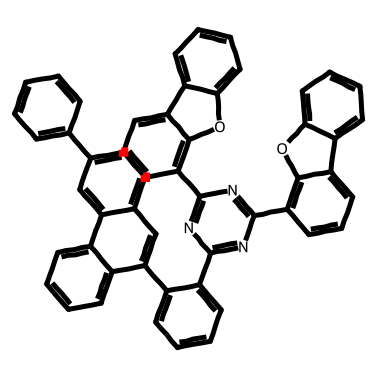 c1ccc(-c2ccc3cc(-c4ccccc4-c4nc(-c5cccc6c5oc5ccccc56)nc(-c5cccc6c5oc5ccccc56)n4)c4ccccc4c3c2)cc1